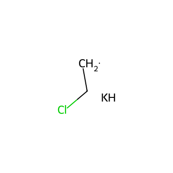 [CH2]CCl.[KH]